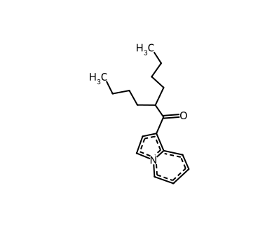 CCCCC(CCCC)C(=O)c1ccn2ccccc12